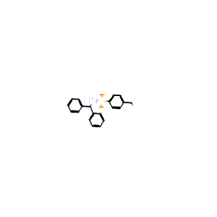 BCc1ccc(S(=O)(=O)NC(c2ccccc2)c2ccccc2)cc1